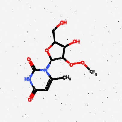 Cc1cc(=O)[nH]c(=O)n1[C@H]1O[C@@H](CO)C(O)C1OOC(F)(F)F